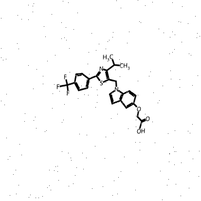 CC(C)c1nc(-c2ccc(C(F)(F)F)cc2)sc1Cn1ccc2cc(OCC(=O)O)ccc21